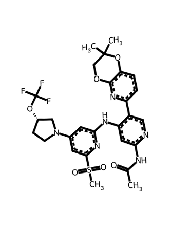 CC(=O)Nc1cc(Nc2cc(N3CC[C@H](OC(F)(F)F)C3)cc(S(C)(=O)=O)n2)c(-c2ccc3c(n2)OCC(C)(C)O3)cn1